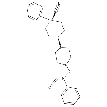 N#C[C@]1(c2ccccc2)CC[C@H](N2CCN(CN(C=O)c3ccccc3)CC2)CC1